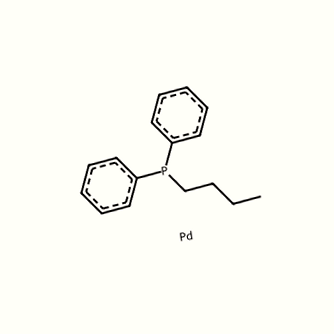 CCCCP(c1ccccc1)c1ccccc1.[Pd]